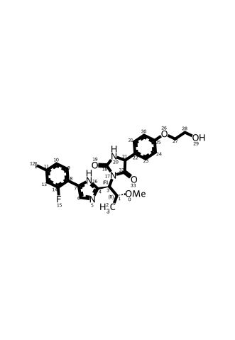 CO[C@H](C)[C@@H](c1ncc(-c2ccc(I)cc2F)[nH]1)N1C(=O)NC(c2ccc(OCCO)cc2)C1=O